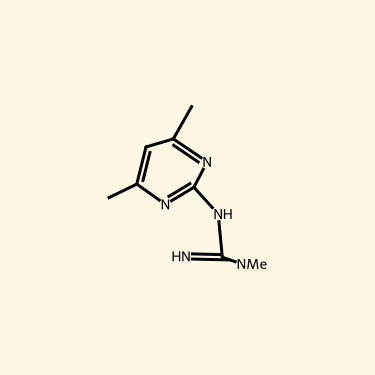 CNC(=N)Nc1nc(C)cc(C)n1